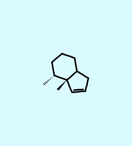 C[C@@H]1CCCC2CC=C[C@@]21C